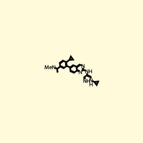 CNC(C)c1ccc(C2CC2)c(-c2ccc3nc(N/C(C=N)=C/NC4CC4)ncc3c2)c1